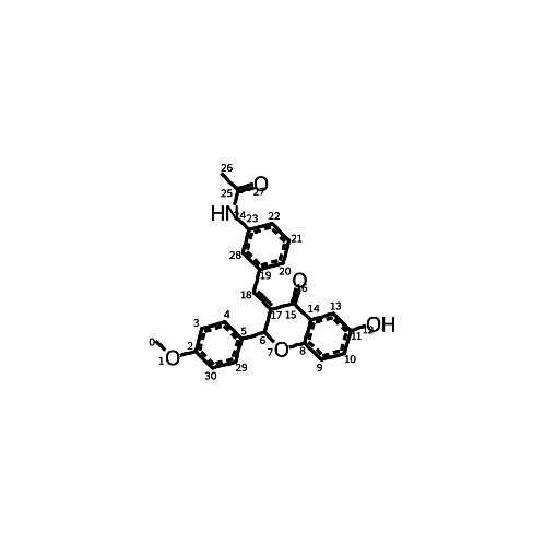 COc1ccc(C2Oc3ccc(O)cc3C(=O)C2=Cc2cccc(NC(C)=O)c2)cc1